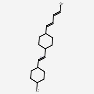 CCC1CCC(/C=C/C2CCC(C=CC=CC#N)CC2)CC1